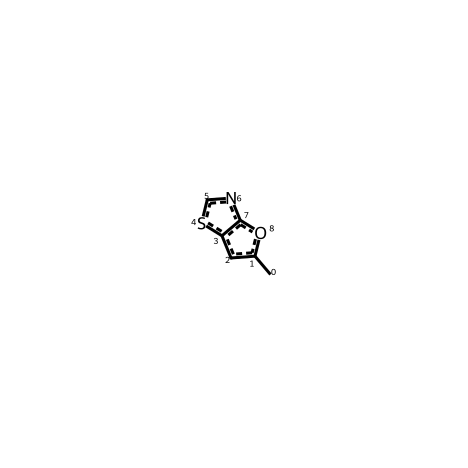 Cc1cc2scnc2o1